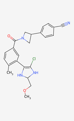 COCC1NC(Cl)=C(c2cc(C(=O)N3CC(c4ccc(C#N)cc4)C3)ccc2C)N1